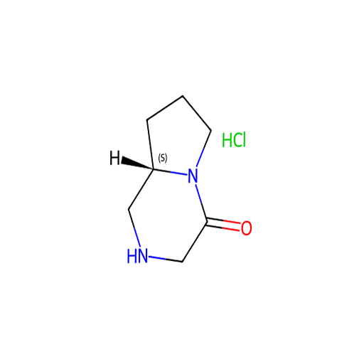 Cl.O=C1CNC[C@@H]2CCCN12